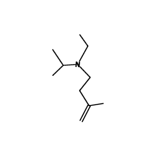 C=C(C)CCN(CC)C(C)C